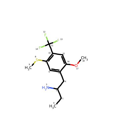 CCC(N)Cc1cc(SC)c(C(F)(F)F)cc1OC